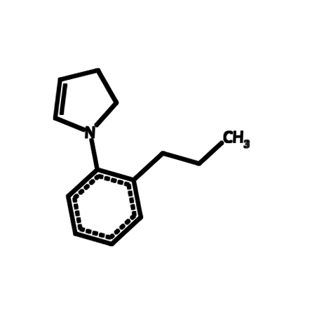 CCCc1ccccc1N1C=CCC1